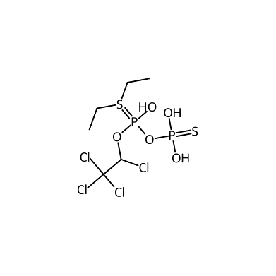 CCS(CC)=P(O)(OC(Cl)C(Cl)(Cl)Cl)OP(O)(O)=S